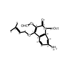 CCCCCCCCn1c(=O)c(OC=O)c(OCC=C(C)C)c2ccc(N)cc21